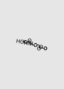 O=C(Cc1ccc(/C=N/NC(=O)c2ccc(O)cc2)cc1)OCc1ccccc1